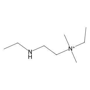 CCNCC[N+](C)(C)CC